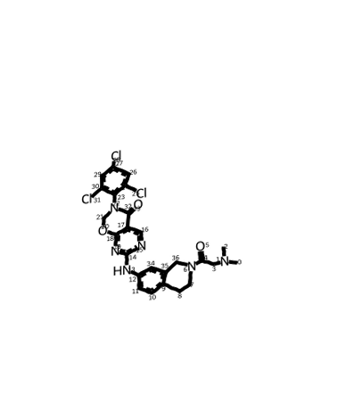 CN(C)CC(=O)N1CCc2ccc(Nc3ncc4c(n3)OCN(c3c(Cl)cc(Cl)cc3Cl)C4=O)cc2C1